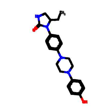 CCC1CNC(=O)N1c1ccc(N2CCN(c3ccc(O)cc3)CC2)cc1